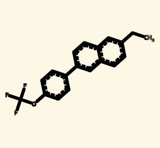 CCc1ccc2cc(-c3ccc(OC(F)(F)F)cc3)ccc2c1